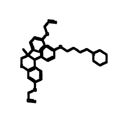 COCOc1ccc(C2(C)CSc3cc(OCOC)ccc3C2c2ccc(OCCCCN3CCCCC3)cc2)cc1